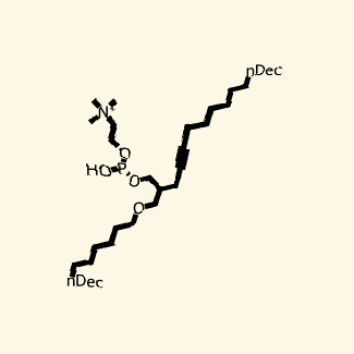 CCCCCCCCCCCCCCCCC#CCC(COCCCCCCCCCCCCCCCC)COP(O)OCC[N+](C)(C)C